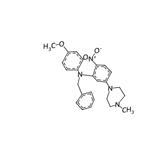 COc1ccc(N(Cc2ccccc2)c2cc(N3CCN(C)CC3)ccc2[N+](=O)[O-])cc1